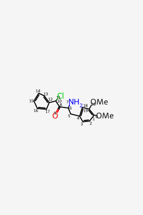 COc1ccc(CC(N)C(=O)C(Cl)c2ccccc2)cc1OC